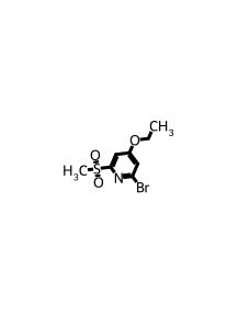 CCOc1cc(Br)nc(S(C)(=O)=O)c1